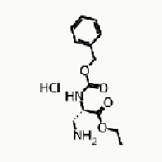 CCOC(=O)[C@H](CN)NC(=O)OCc1ccccc1.Cl